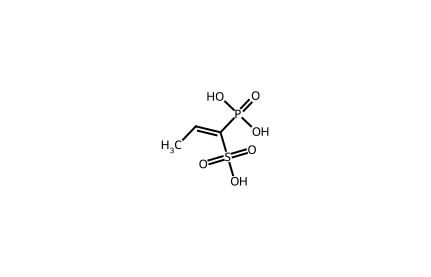 CC=C(P(=O)(O)O)S(=O)(=O)O